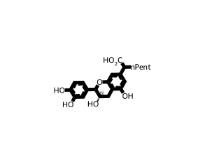 CCCCCC(C(=O)O)c1cc(O)c2c(c1)OC(c1ccc(O)c(O)c1)[C@@H](O)C2